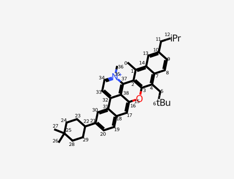 Cc1c2c(c(CC(C)(C)C)c3ccc(CC(C)C)cc13)Oc1cc3ccc(C4CCC(C)(C)CC4)cc3c3cc[n+](C)c-2c13